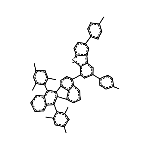 Cc1ccc(-c2ccc3sc4c(-c5ccc6c7c(cccc57)-c5c-6c(-c6c(C)cc(C)cc6C)c6ccccc6c5-c5c(C)cc(C)cc5C)cc(-c5ccc(C)cc5)cc4c3c2)cc1